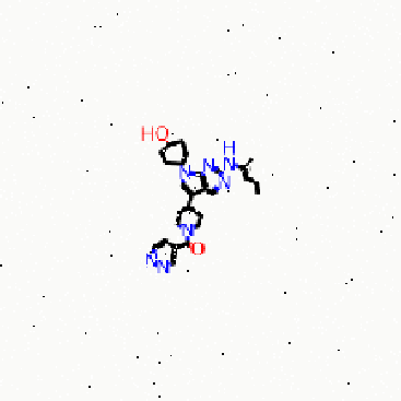 CCC[C@H](C)Nc1ncc2c(C3CCN(C(=O)c4ccnnc4)CC3)cn([C@H]3CC[C@H](O)CC3)c2n1